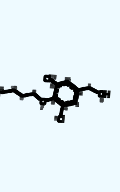 OCc1cc(Cl)c(OCCCBr)c(Cl)c1